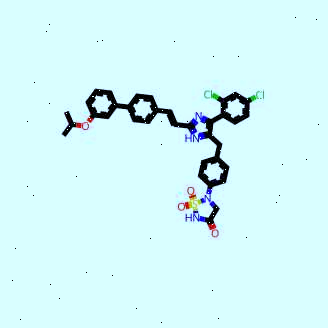 CC(C)Oc1cccc(-c2ccc(C=Cc3nc(-c4ccc(Cl)cc4Cl)c(Cc4ccc(N5CC(=O)NS5(=O)=O)cc4)[nH]3)cc2)c1